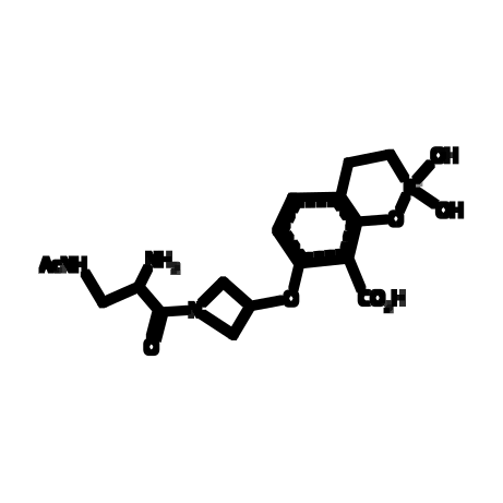 CC(=O)NCC(N)C(=O)N1CC(Oc2ccc3c(c2C(=O)O)O[B-](O)(O)CC3)C1